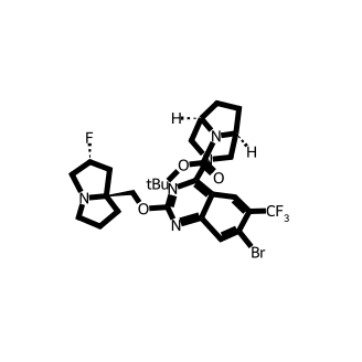 CC(C)(C)OC(=O)N1[C@@H]2CC[C@H]1CN(c1nc(OC[C@@]34CCCN3C[C@H](F)C4)nc3cc(Br)c(C(F)(F)F)cc13)C2